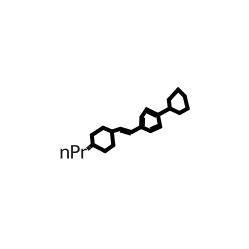 CCCC1CCC(/C=C/c2ccc(C3CCCCC3)cc2)CC1